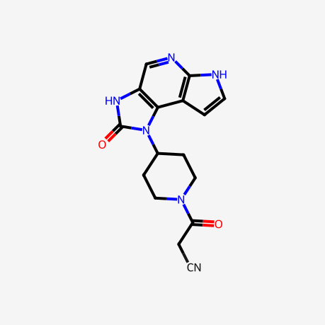 N#CCC(=O)N1CCC(n2c(=O)[nH]c3cnc4[nH]ccc4c32)CC1